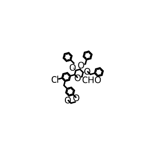 O=C[C@H]1OC(c2ccc(Cl)c(Cc3ccc4c(c3)OCCO4)c2)[C@H](OCc2ccccc2)[C@@H](OCc2ccccc2)[C@@H]1OCc1ccccc1